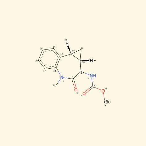 CN1C(=O)C(NC(=O)OC(C)(C)C)[C@H]2C[C@H]2c2ccccc21